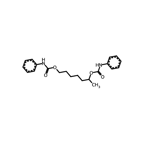 CC(CCCCCOC(=O)Nc1ccccc1)OC(=O)Nc1ccccc1